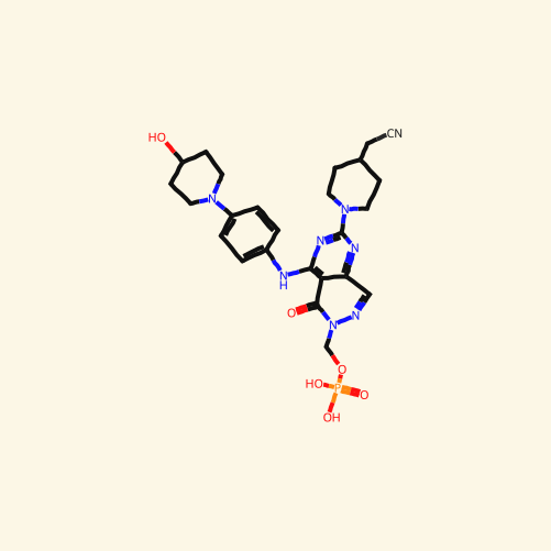 N#CCC1CCN(c2nc(Nc3ccc(N4CCC(O)CC4)cc3)c3c(=O)n(COP(=O)(O)O)ncc3n2)CC1